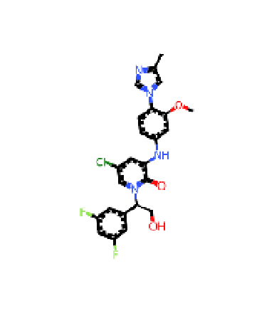 COc1cc(Nc2cc(Cl)cn([C@@H](CO)c3cc(F)cc(F)c3)c2=O)ccc1-n1cnc(C)c1